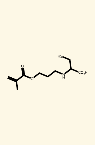 C=C(C)C(=O)OCCCNC(CS)C(=O)O